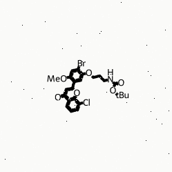 COc1cc(Br)c(OCCCNC(=O)OC(C)(C)C)cc1-c1cc(=O)c2cccc(Cl)c2o1